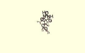 C=CCC1(C(CCC)COC(C)OCC)C(=O)NC(=O)NC1=O